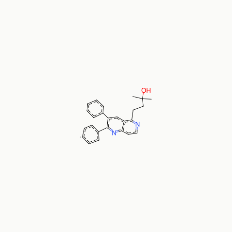 CC(C)(O)CCc1nccc2nc(-c3cc[c]cc3)c(-c3ccccc3)cc12